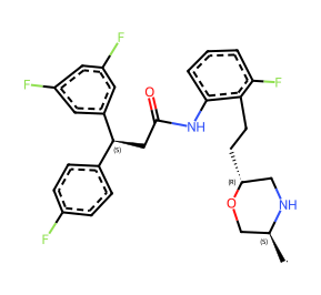 [CH2][C@H]1CO[C@H](CCc2c(F)cccc2NC(=O)C[C@@H](c2ccc(F)cc2)c2cc(F)cc(F)c2)CN1